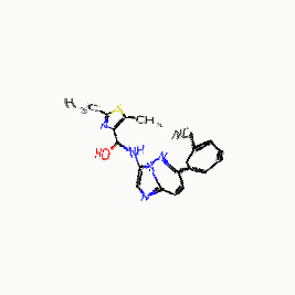 Cc1nc(C(O)Nc2cnc3ccc(-c4ccccc4C#N)nn23)c(C)s1